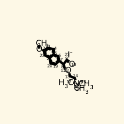 COc1ccc2cc(C(C=O)COCC[N+](C)(C)C)ccc2c1.[I-]